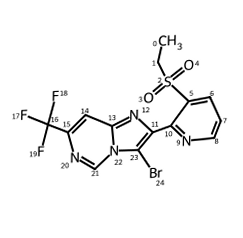 CCS(=O)(=O)c1cccnc1-c1nc2cc(C(F)(F)F)ncn2c1Br